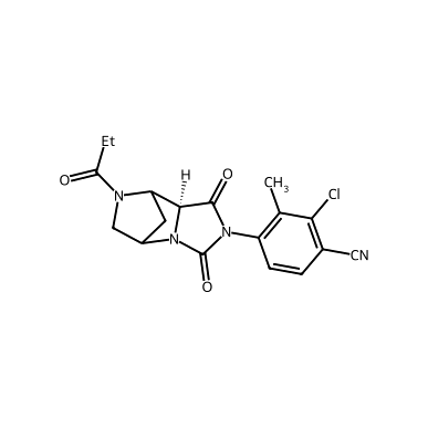 CCC(=O)N1CC2CC1[C@H]1C(=O)N(c3ccc(C#N)c(Cl)c3C)C(=O)N21